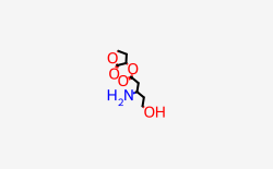 NC(CCO)CC(=O)OC1CCOC1=O